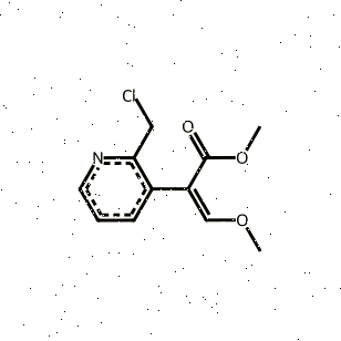 COC=C(C(=O)OC)c1cccnc1CCl